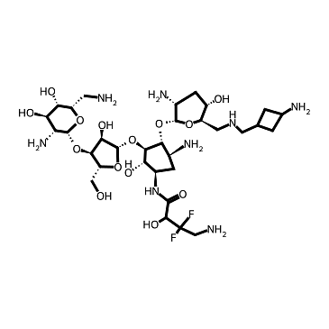 NC[C@@H]1O[C@H](O[C@H]2[C@@H](O)[C@H](O[C@@H]3[C@@H](O)[C@H](NC(=O)C(O)C(F)(F)CN)C[C@H](N)[C@H]3O[C@H]3O[C@H](CNCC4CC(N)C4)[C@@H](O)C[C@H]3N)O[C@@H]2CO)[C@H](N)[C@@H](O)[C@@H]1O